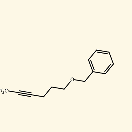 CC#CCCCOCc1ccccc1